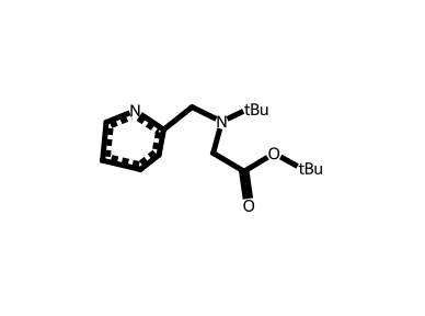 CC(C)(C)OC(=O)CN(Cc1ccccn1)C(C)(C)C